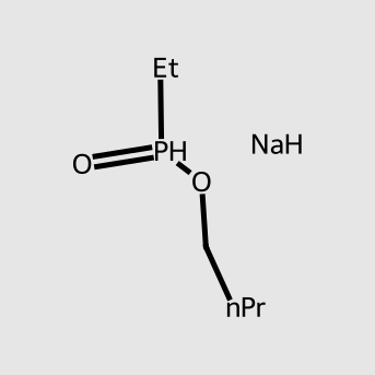 CCCCO[PH](=O)CC.[NaH]